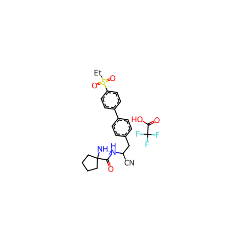 CCS(=O)(=O)c1ccc(-c2ccc(CC(C#N)NC(=O)C3(N)CCCC3)cc2)cc1.O=C(O)C(F)(F)F